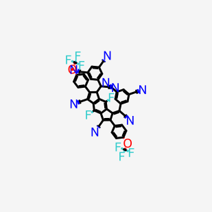 N#CC1=C(c2ccc(OC(F)(F)F)cc2)/C(=C(\C#N)c2cc(C#N)cc(C#N)c2)c2c(F)c3c(c(F)c21)C(C#N)=C(c1ccc(OC(F)(F)F)cc1)C3C(C#N)c1cc(C#N)cc(C#N)c1